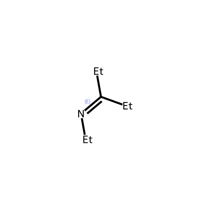 [CH2]C/C(CC)=N\CC